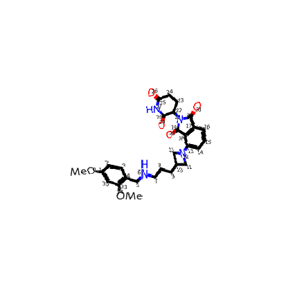 COc1ccc(CNCCCC2CN(c3cccc4c3C(=O)N(C3CCC(=O)NC3=O)C4=O)C2)c(OC)c1